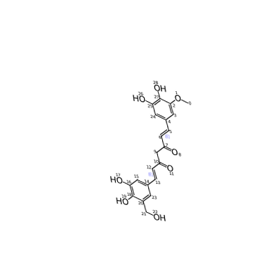 COc1cc(/C=C/C(=O)CC(=O)/C=C/c2cc(O)c(O)c(CO)c2)cc(O)c1O